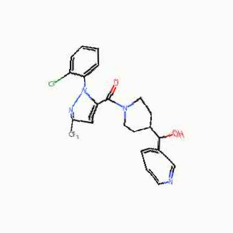 O=C(c1cc(C(F)(F)F)nn1-c1ccccc1Cl)N1CCC(C(O)c2cccnc2)CC1